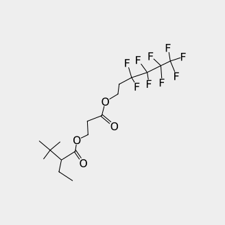 CCC(C(=O)OCCC(=O)OCCC(F)(F)C(F)(F)C(F)(F)C(F)(F)F)C(C)(C)C